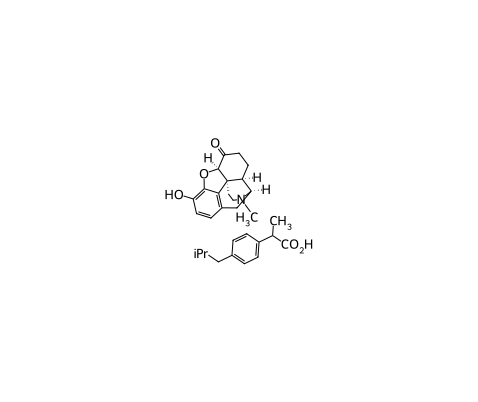 CC(C)Cc1ccc(C(C)C(=O)O)cc1.CN1CC[C@]23c4c5ccc(O)c4O[C@H]2C(=O)CC[C@H]3[C@H]1C5